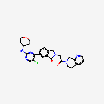 O=C(CN1Cc2ccc(-c3nc(NC4CCOCC4)ncc3Cl)cc2C1=O)N1CCc2cccnc2C1